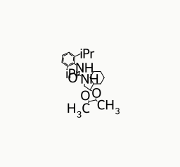 CC(C)c1cccc(C(C)C)c1NC(=O)NCC1(C2CCCCC2)OC(C)C(C)O1